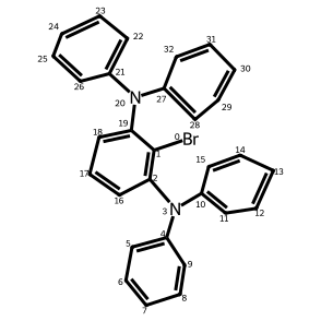 Brc1c(N(c2ccccc2)c2ccccc2)cccc1N(c1ccccc1)c1ccccc1